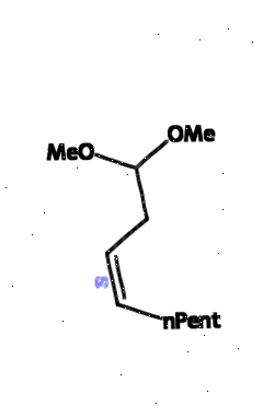 CCCCC/C=C\CC(OC)OC